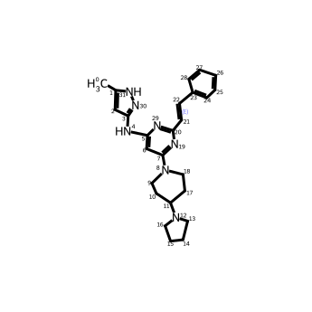 Cc1cc(Nc2cc(N3CCC(N4CCCC4)CC3)nc(/C=C/c3ccccc3)n2)n[nH]1